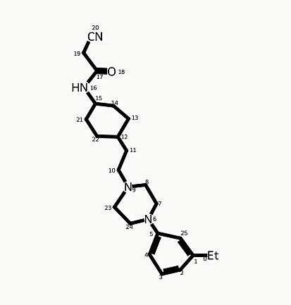 CCc1cccc(N2CCN(CCC3CCC(NC(=O)CC#N)CC3)CC2)c1